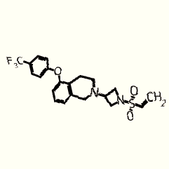 C=CS(=O)(=O)N1CC(N2CCc3c(cccc3Oc3ccc(C(F)(F)F)cc3)C2)C1